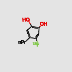 CCCc1cc(O)c(O)cc1[18F]